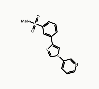 CNS(=O)(=O)c1cccc(-c2cn(-c3cccnc3)cn2)c1